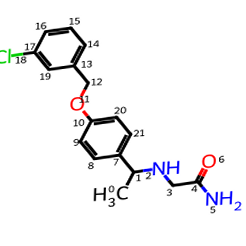 CC(NCC(N)=O)c1ccc(OCc2cccc(Cl)c2)cc1